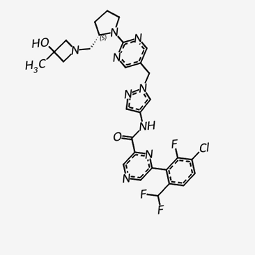 CC1(O)CN(C[C@@H]2CCCN2c2ncc(Cn3cc(NC(=O)c4cncc(-c5c(C(F)F)ccc(Cl)c5F)n4)cn3)cn2)C1